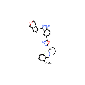 COc1cccc(F)c1CN1CCC[C@@H](c2nnc(-c3ccc4[nH]nc(-c5ccc6coccc5-6)c4c3)o2)C1